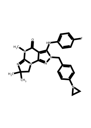 CN1C(=O)c2c(nn(Cc3ccc(N4CC4)cc3)c2Nc2ccc(F)cc2)N2CC(C)(C)N=C12